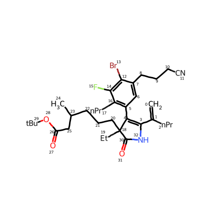 C=C(CCC)C1=C(c2cc(CCCC#N)c(Br)c(F)c2CCC)C(CC)(CCCC(C)CC(=O)OC(C)(C)C)C(=O)N1